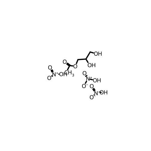 CC(=O)OCC(O)CO.O=[N+]([O-])O.O=[N+]([O-])O.O=[N+]([O-])O